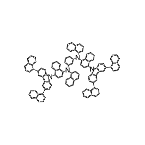 c1cc(N(c2cccc3ccccc23)c2ccc(-n3c4ccc(-c5cccc6ccccc56)cc4c4cc(-c5cccc6ccccc56)ccc43)c3ccccc23)cc(N(c2cccc3ccccc23)c2ccc(-n3c4ccc(-c5cccc6ccccc56)cc4c4cc(-c5cccc6ccccc56)ccc43)c3ccccc23)c1